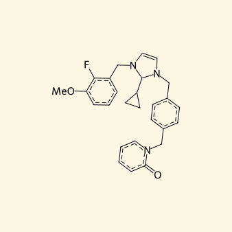 COc1cccc(CN2C=CN(Cc3ccc(Cn4ccccc4=O)cc3)C2C2CC2)c1F